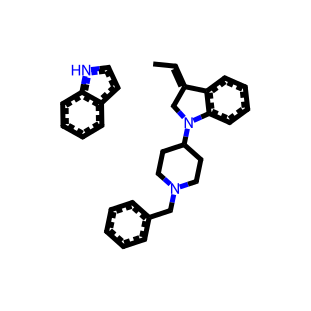 CC=C1CN(C2CCN(Cc3ccccc3)CC2)c2ccccc21.c1ccc2[nH]ccc2c1